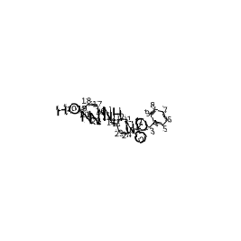 O=C(OCc1ccccc1)N1CCC(CNc2ccc(O)nn2)CC1